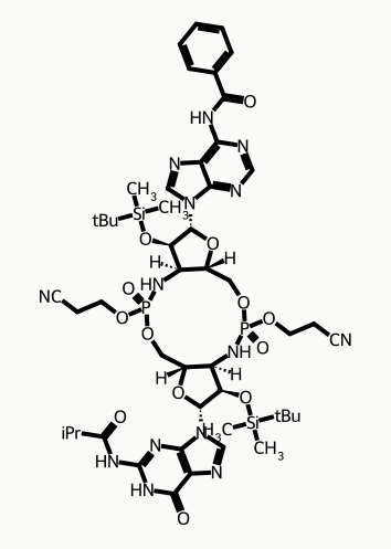 CC(C)C(=O)Nc1nc2c(ncn2[C@@H]2O[C@@H]3COP(=O)(OCCC#N)N[C@H]4[C@@H](O[Si](C)(C)C(C)(C)C)[C@H](n5cnc6c(NC(=O)c7ccccc7)ncnc65)O[C@@H]4COP(=O)(OCCC#N)N[C@H]3[C@H]2O[Si](C)(C)C(C)(C)C)c(=O)[nH]1